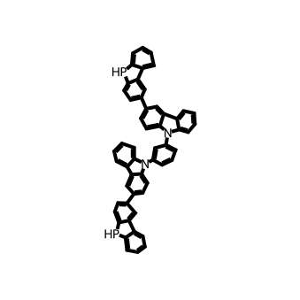 c1cc(-n2c3ccccc3c3cc(-c4ccc5[pH]c6ccccc6c5c4)ccc32)cc(-n2c3ccccc3c3cc(-c4ccc5[pH]c6ccccc6c5c4)ccc32)c1